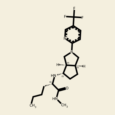 CCCC[C@H](N[C@H]1CC[C@@H]2CN(c3ccc(C(F)(F)F)cn3)C[C@@H]21)C(=O)NC